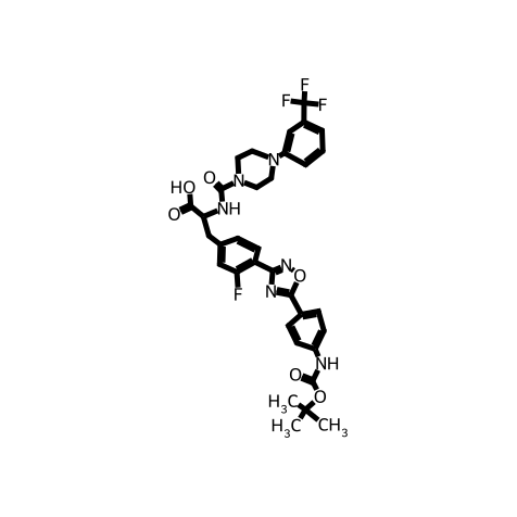 CC(C)(C)OC(=O)Nc1ccc(-c2nc(-c3ccc(CC(NC(=O)N4CCN(c5cccc(C(F)(F)F)c5)CC4)C(=O)O)cc3F)no2)cc1